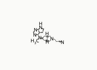 CN(c1ncnc2[nH]ccc12)[C@H]1C[C@@H]2CN(CCC#N)C[C@@H]2C1